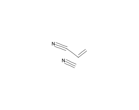 C#N.C=CC#N